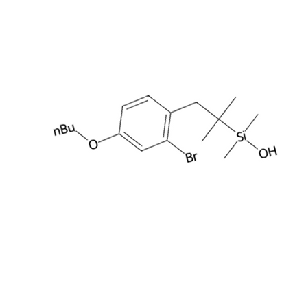 CCCCOc1ccc(CC(C)(C)[Si](C)(C)O)c(Br)c1